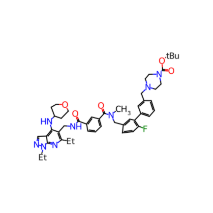 CCc1nc2c(cnn2CC)c(NC2CCOCC2)c1CNC(=O)c1cccc(C(=O)N(C)Cc2ccc(F)c(-c3cccc(CN4CCN(C(=O)OC(C)(C)C)CC4)c3)c2)c1